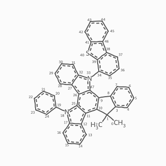 CC1(C)c2ccccc2-c2c1c1c3ccccc3n(-c3ccccc3)c1c1c3ccccc3n(-c3cccc4c3sc3ccccc34)c21